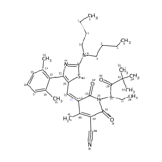 CCCCN(CCCC)c1nc(-c2c(C)cccc2C)c(/C=C2\C(=O)N(C(CC)C(=O)C(C)(C)C)C(=O)C(C#N)=C2C)s1